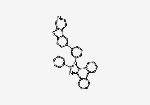 c1ccc(-c2nc3c4ccccc4c4ccccc4c3n2-c2cccc(-c3ccc4sc5cnccc5c4c3)c2)cc1